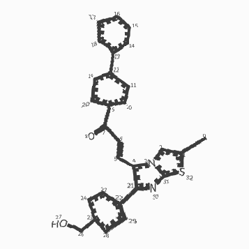 Cc1cn2c(/C=C/C(=O)c3ccc(-c4ccccc4)cc3)c(-c3ccc(CO)cc3)nc2s1